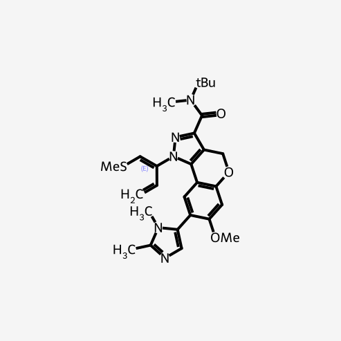 C=C/C(=C\SC)n1nc(C(=O)N(C)C(C)(C)C)c2c1-c1cc(-c3cnc(C)n3C)c(OC)cc1OC2